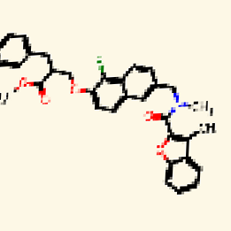 COC(=O)C(COc1ccc2cc(CN(C)C(=O)c3oc4ccccc4c3C)ccc2c1Br)Cc1ccccc1